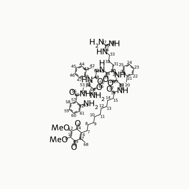 COC1=C(OC)C(=O)C(CCCCCCCCCC(=O)N[C@@H](Cc2ccccc2)C(=O)N[C@H](CCCNC(=N)N)C(=O)N[C@@H](Cc2ccccc2)C(=O)N[C@@H](CNC(=O)c2ccccc2N)C(N)=O)=C(C)C1=O